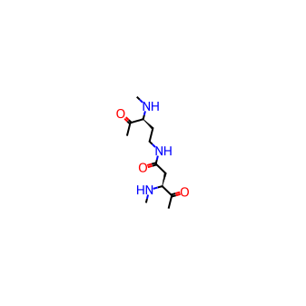 CN[C@@H](CCNC(=O)C[C@H](NC)C(C)=O)C(C)=O